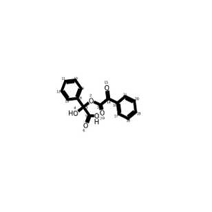 O=C(OC(O)(C(=O)O)c1ccccc1)C(=O)c1ccccc1